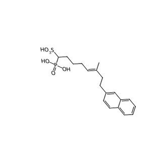 CC(=CCCCC(P(=O)(O)O)S(=O)(=O)O)CCc1ccc2ccccc2c1